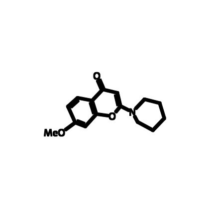 COc1ccc2c(=O)cc(N3CCCCC3)oc2c1